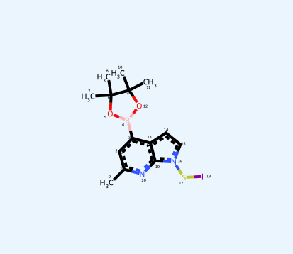 Cc1cc(B2OC(C)(C)C(C)(C)O2)c2ccn(SI)c2n1